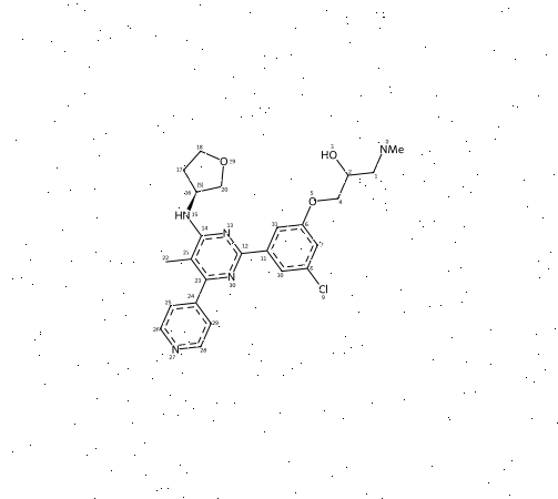 CNCC(O)COc1cc(Cl)cc(-c2nc(N[C@H]3CCOC3)c(C)c(-c3ccncc3)n2)c1